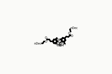 CCCCCCCCCCCCOC(=O)CCc1cc(C)c(OP(O)(O)(O)c2c(C)cc(CCC(=O)OCCCCCCCCCCCC)cc2C(C)(C)C)c(C(C)(C)C)c1